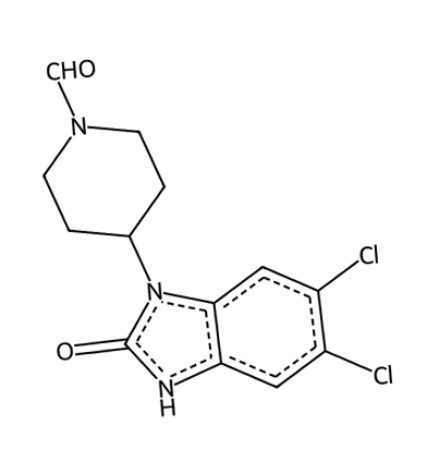 O=CN1CCC(n2c(=O)[nH]c3cc(Cl)c(Cl)cc32)CC1